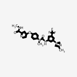 CNC(=O)c1cc(Oc2ccc(N(C)C(=O)Nc3cc(-n4cnc(C)c4)cc(C(F)(F)F)c3)cc2)ccn1